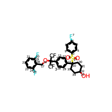 O=S(=O)(c1ccc(F)cc1)C1(c2ccc(C(OCc3c(F)cccc3F)(C(F)(F)F)C(F)(F)F)cc2)CCC(O)CC1